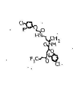 C=C(CCNC(=O)COc1ccc(Cl)c(F)c1)NC(=O)C1CN(C(=O)CCC(F)(F)F)c2cc(Cl)ccc2O1